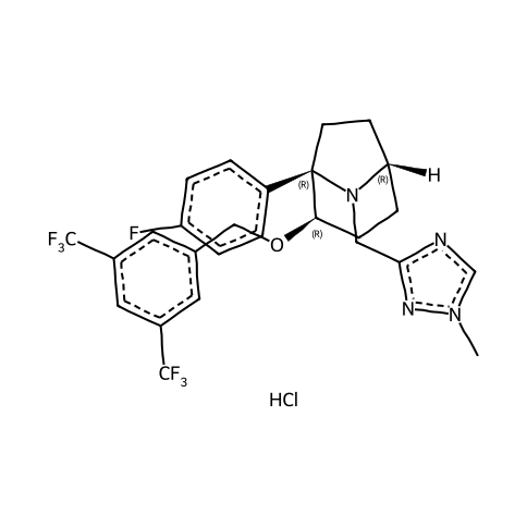 Cl.Cn1cnc(CN2[C@H]3CC[C@@H](OCc4cc(C(F)(F)F)cc(C(F)(F)F)c4)[C@]2(c2ccc(F)cc2)CC3)n1